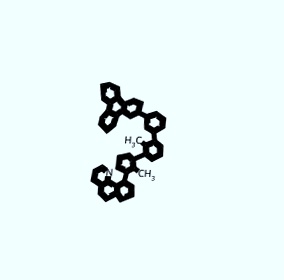 Cc1c(-c2cccc(-c3ccc4c5ccccc5c5ccccc5c4c3)c2)cccc1-c1cccc(-c2cccc3ccc4cccnc4c23)c1C